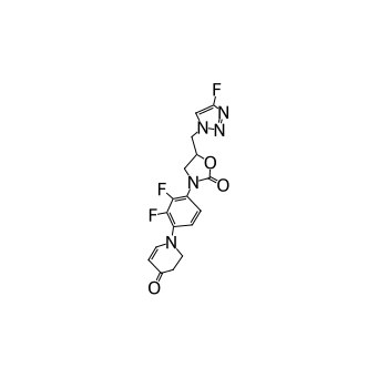 O=C1C=CN(c2ccc(N3CC(Cn4cc(F)nn4)OC3=O)c(F)c2F)CC1